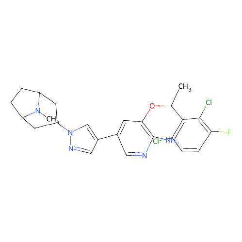 CC(Oc1cc(-c2cnn(C3CC4CCC(C3)N4C)c2)cnc1N)c1c(Cl)ccc(F)c1Cl